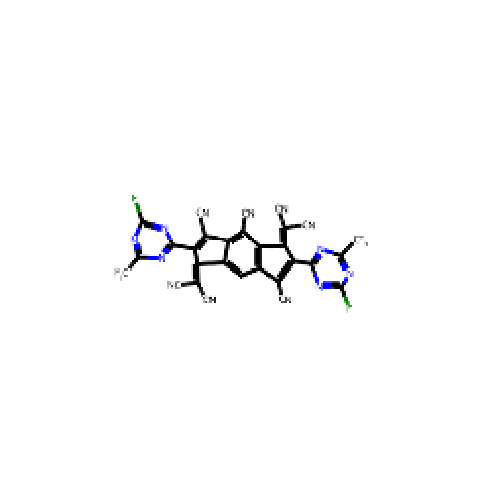 N#CC(C#N)=C1C(c2nc(F)nc(C(F)(F)F)n2)=C(C#N)c2c1cc1c(c2C#N)C(=C(C#N)C#N)C(c2nc(F)nc(C(F)(F)F)n2)=C1C#N